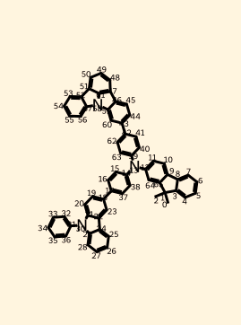 CC1(C)c2ccccc2-c2ccc(N(c3ccc(-c4ccc5c(c4)c4ccccc4n5-c4ccccc4)cc3)c3ccc(-c4ccc5c6cccc7c8ccccc8n(c5c4)c76)cc3)cc21